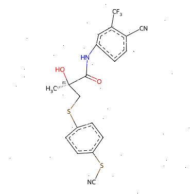 C[C@@](O)(CSc1ccc(SC#N)cc1)C(=O)Nc1ccc(C#N)c(C(F)(F)F)c1